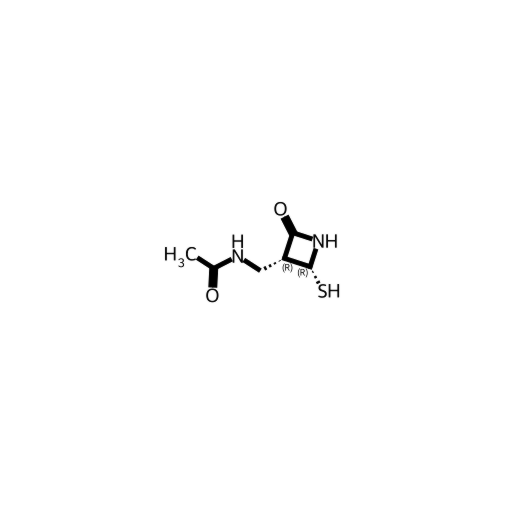 CC(=O)NC[C@@H]1C(=O)N[C@@H]1S